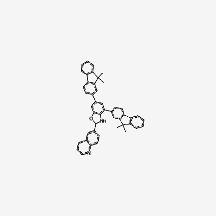 CC1(C)c2ccccc2-c2ccc(-c3cc4c(c(-c5ccc6c(c5)C(C)(C)c5ccccc5-6)c3)NC(c3ccc5ncccc5c3)O4)cc21